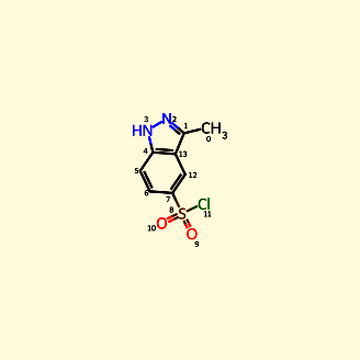 Cc1n[nH]c2ccc(S(=O)(=O)Cl)cc12